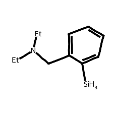 CCN(CC)Cc1ccccc1[SiH3]